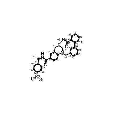 C[C@H](NC(=O)c1ccc2c(c1)CCCN2Cc1cccc(-c2ccccc2C(N)=O)c1)c1ccc([N+](=O)[O-])cc1